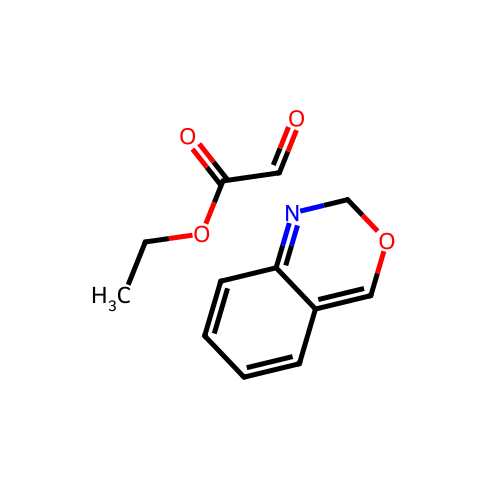 C1=c2ccccc2=NCO1.CCOC(=O)C=O